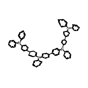 C1=CC(c2ccc(N(c3ccccc3)c3ccccc3)cc2)CC=C1N(c1ccccc1)c1ccc(-c2ccc(N(c3ccccc3)c3ccc(-c4ccc(N(c5ccccc5)c5ccccc5)cc4)cc3)cc2)cc1